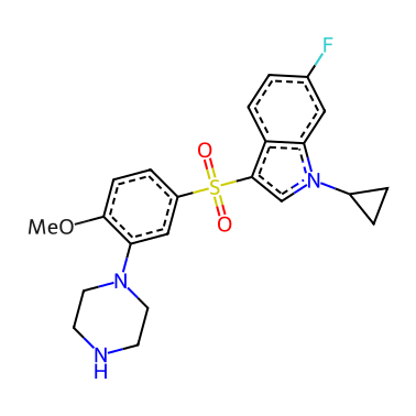 COc1ccc(S(=O)(=O)c2cn(C3CC3)c3cc(F)ccc23)cc1N1CCNCC1